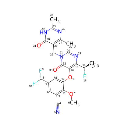 COc1c(C#N)cc(C(F)F)cc1Oc1c([C@@H](C)F)ncn(Cc2c(C)nc(C)[nH]c2=O)c1=O